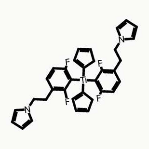 Fc1ccc(CCn2cccc2)c(F)[c]1[Ti]([C]1=CC=CC1)([C]1=CC=CC1)[c]1c(F)ccc(CCn2cccc2)c1F